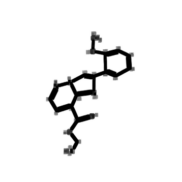 CCOC(=O)c1ccnn2cc(-c3ccccc3OC)nc12